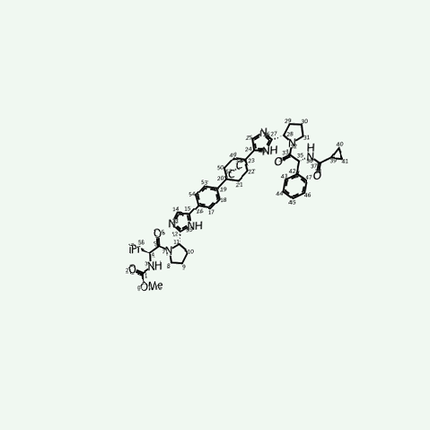 COC(=O)N[C@H](C(=O)N1CCC[C@H]1c1ncc(-c2ccc(C34CCC(c5cnc([C@@H]6CCCN6C(=O)[C@H](NC(=O)C6CC6)c6ccccc6)[nH]5)(CC3)CC4)cc2)[nH]1)C(C)C